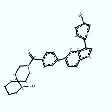 N#Cc1ccc(-c2cnc3ccc(-c4ccc(C(=O)N5CCC6(CCCCN6C(=O)O)CC5)cc4)nn23)cc1